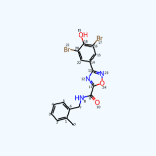 Cc1ccccc1CNC(=O)c1nc(-c2cc(Br)c(O)c(Br)c2)no1